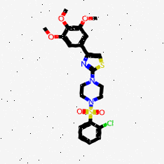 COc1cc(-c2csc(N3CCN(S(=O)(=O)c4ccccc4Cl)CC3)n2)cc(OC)c1OC